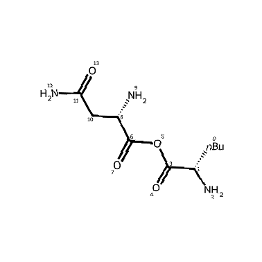 CCCC[C@H](N)C(=O)OC(=O)[C@@H](N)CC(N)=O